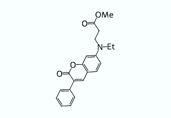 CCN(CCC(=O)OC)c1ccc2cc(-c3ccccc3)c(=O)oc2c1